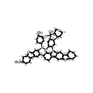 CC(C)(C)c1ccc(N2B3c4cc5c(cc4-n4c6cc7c(cc6c6ccc(c3c64)-c3cc4c(cc32)oc2cc(C(C)(C)C)ccc24)oc2ccccc27)-c2ccccc2C5(C)C)cc1